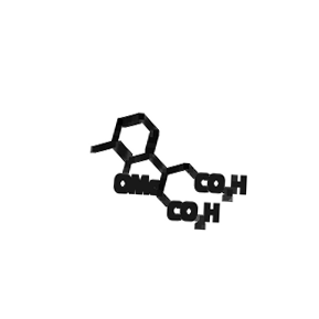 COc1c(C)cccc1C(CC(=O)O)CC(=O)O